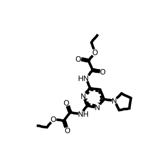 CCOC(=O)C(=O)Nc1cc(N2CCCC2)nc(NC(=O)C(=O)OCC)n1